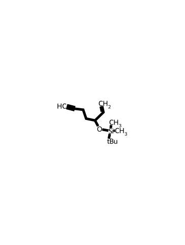 C#CCCC(C=C)O[Si](C)(C)C(C)(C)C